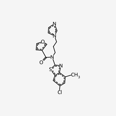 Cc1cc(Cl)cc2sc(N(CCCn3ccnc3)C(=O)c3ccoc3)nc12